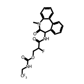 CN1C(=O)C(NC(=O)C(F)COC(=O)NCC(F)(F)F)c2ccccc2-c2ccccc21